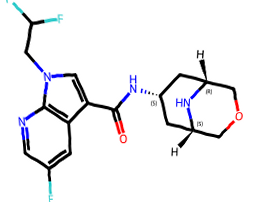 O=C(N[C@H]1C[C@H]2COC[C@@H](C1)N2)c1cn(CC(F)F)c2ncc(F)cc12